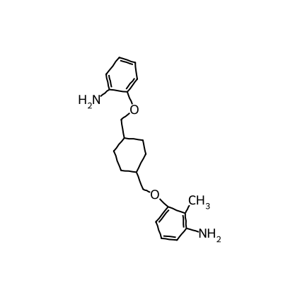 Cc1c(N)cccc1OCC1CCC(COc2ccccc2N)CC1